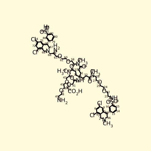 CN1Cc2c(Cl)cc(Cl)cc2[C@H](c2cccc(S(=O)(=O)NCCOCCOCCN(C)C(=O)CCC(CCC(=O)N(C)CCOCCOCCN)(CCC(=O)N(C)CCOCCOCC(N)CN3Cc4c(Cl)cc(Cl)cc4[C@H](c4cccc([SH](=O)=O)c4)C3)NC(=O)COCC(=O)O)c2)C1